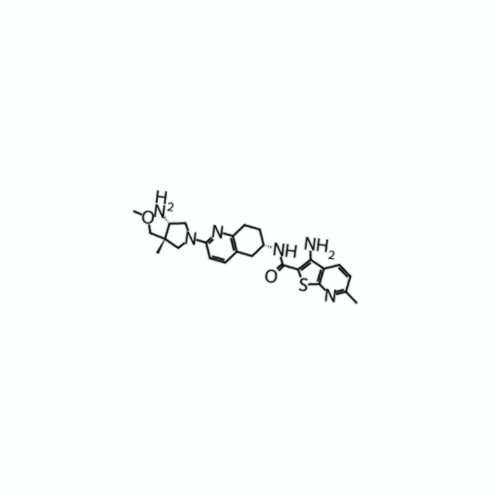 COC[C@@]1(C)CN(c2ccc3c(n2)CC[C@H](NC(=O)c2sc4nc(C)ccc4c2N)C3)C[C@H]1N